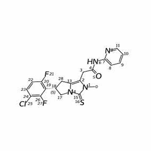 Cn1c(CC(=O)Nc2ccccn2)c2n(c1=S)C[C@H](c1c(F)ccc(Cl)c1F)C2